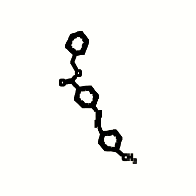 Cc1ccc(N=Nc2ccc(C(=O)OCc3ccccc3)cc2)cc1